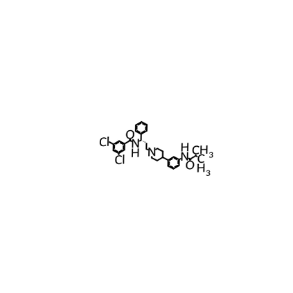 CC(C)C(=O)Nc1cccc(C2CCN(CC[C@H](NC(=O)c3cc(Cl)cc(Cl)c3)c3ccccc3)CC2)c1